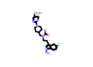 CCOC(=O)c1cnc(N2CCC(CN(CCc3cn(C)c4ccc(Cl)cc34)C(=O)CC)CC2)nc1